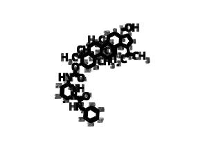 C=C(C)[C@@H]1CC[C@]2(CO)CC[C@]3(C)C(CCC4[C@@]5(C)CC[C@H](OC(=O)NC6C=CCN(C(=O)Nc7ccccc7)N6)C(C)(C)C5CC[C@]43C)C12